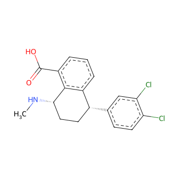 CN[C@H]1CC[C@@H](c2ccc(Cl)c(Cl)c2)c2cccc(C(=O)O)c21